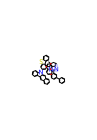 CC1C/C=C(c2cccc3ccccc23)/N=C(c2cccc(-c3ccccc3)c2)\N=C/1c1cc(-n2c3ccccc3c3cc4ccccc4cc32)cc2sc3ccccc3c12